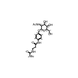 CCCCC(=O)NCCC(=O)Nc1ccc(OC2OC(CO)C(O)C(O)C2NC(C)=O)cc1